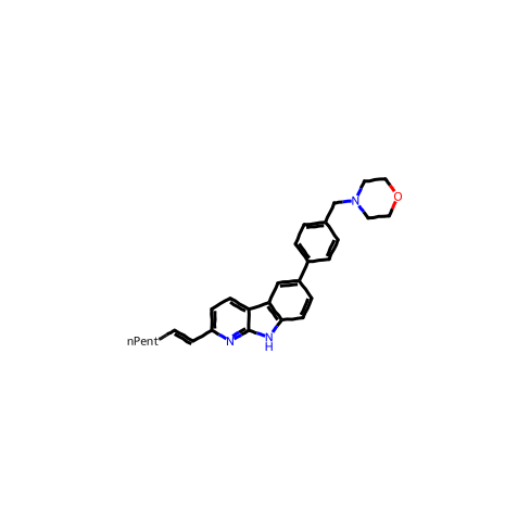 CCCCC/C=C/c1ccc2c(n1)[nH]c1ccc(-c3ccc(CN4CCOCC4)cc3)cc12